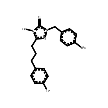 CC(C)n1c(CCCc2ccc(Br)cc2)nn(Cc2ccc(C(C)(C)C)cc2)c1=O